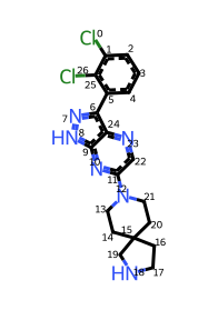 Clc1cccc(-c2n[nH]c3nc(N4CCC5(CCNC5)CC4)cnc23)c1Cl